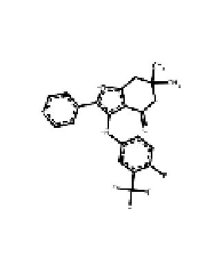 CC1(C)CC(=O)c2c([nH]c(-c3ccncc3)c2Nc2ccc(F)c(C(F)(F)F)c2)C1